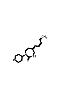 C=C/C=C\C=C1\CCN(C2CCNCC2)C(=O)NC1